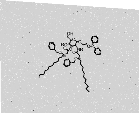 CCCCCCCCCCC[C@H](CC(=O)N[C@@H]1[C@@H](OCCOP(c2ccccc2)c2ccccc2)O[C@H](CO)[C@@H](O)[C@@H]1OC(=O)C[C@@H](CCCCCCCCCCC)OCc1ccccc1)OCc1ccccc1